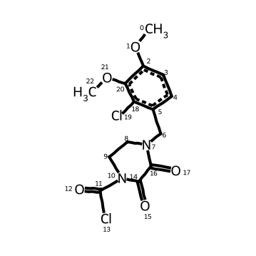 COc1ccc(CN2CCN(C(=O)Cl)C(=O)C2=O)c(Cl)c1OC